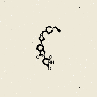 C#CCN1CCC(CN2CC(c3ccc4c(c3)CN(C3CCC(=O)NC3=O)C4=O)C2)CC1